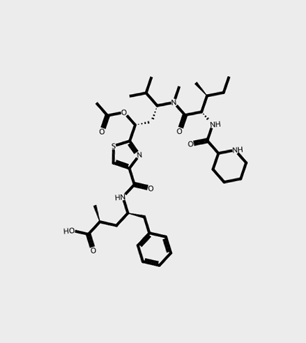 CC[C@H](C)[C@H](NC(=O)C1CCCCN1)C(=O)N(C)[C@H](C[C@@H](OC(C)=O)c1nc(C(=O)N[C@@H](Cc2ccccc2)C[C@H](C)C(=O)O)cs1)C(C)C